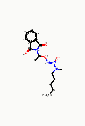 CC(ON=[N+]([O-])N(C)CCCCC(=O)O)N1C(=O)c2ccccc2C1=O